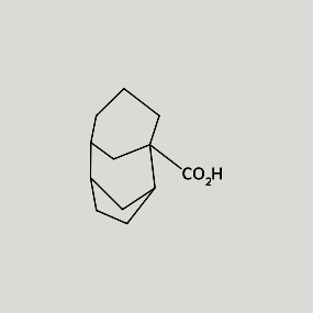 O=C(O)C12CCCC(C1)C1CCC2C1